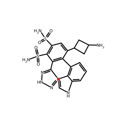 NC1CC(c2cc(S(N)(=O)=O)c(S(N)(=O)=O)c(-c3nn[nH]n3)c2-c2cccc3[nH]cnc23)C1